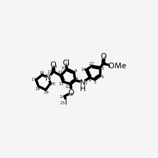 COC(=O)c1ccc(Nc2cc(Cl)c(C(=O)N3CCCCC3)cc2OCI)cc1